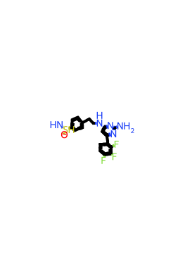 N=[SH](=O)c1ccc(CCNc2cc(-c3ccc(F)c(F)c3F)nc(N)n2)cc1